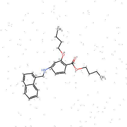 CCCCOC(=O)c1ccc(NCc2cccc3ccccc23)cc1OCCCC